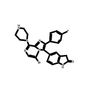 O=C1Cc2cc(-c3c(-c4ccc(F)cc4)nc4c(N5CCNCC5)ncc(Br)n34)ccc2N1